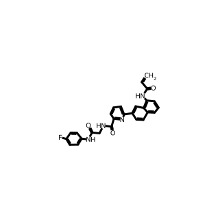 C=CC(=O)Nc1cccc2ccc(-c3cccc(C(=O)NCC(=O)Nc4ccc(F)cc4)n3)cc12